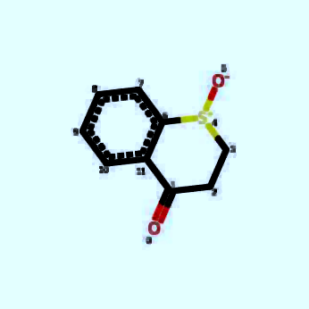 O=C1CC[S+]([O-])c2ccccc21